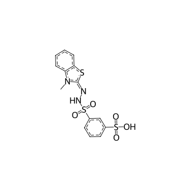 Cn1c(=NNS(=O)(=O)c2cccc(S(=O)(=O)O)c2)sc2ccccc21